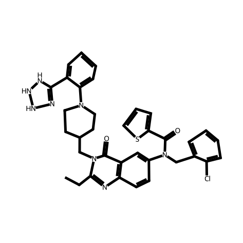 CCc1nc2ccc(N(Cc3ccccc3Cl)C(=O)c3cccs3)cc2c(=O)n1CC1CCN(c2ccccc2C2=NNNN2)CC1